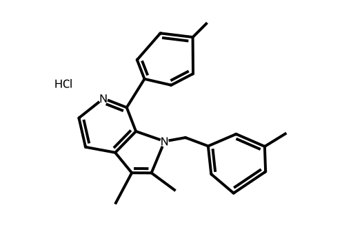 Cc1ccc(-c2nccc3c(C)c(C)n(Cc4cccc(C)c4)c23)cc1.Cl